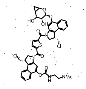 CNCCNC(=O)Oc1cc2c(c3ccccc13)[C@H](CCl)CN2C(=O)c1ccc(C(=O)N2C[C@@H](CCl)c3c2cc(O[C@@H]2OC4CC4C(O)[C@@H]2O)c2ccccc32)s1